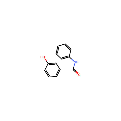 O=CNc1ccccc1.Oc1ccccc1